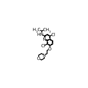 CC(C)Nc1cc(Cl)c2ccc(OCCN3CCOCC3)c(Cl)c2n1